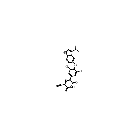 CC(C)c1c[nH]c2ccc(Oc3c(Cl)cc(-n4nc(C#N)c(=O)[nH]c4=O)cc3Cl)nc12